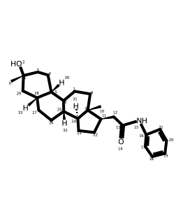 C[C@@]1(O)CC[C@@H]2C3CC[C@]4(C)[C@@H](CC(=O)Nc5ccccc5)CC[C@H]4[C@@H]3CC[C@@H]2C1